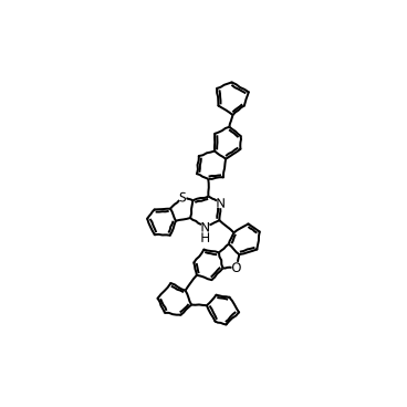 c1ccc(-c2ccc3cc(C4=C5Sc6ccccc6C5NC(c5cccc6oc7cc(-c8ccccc8-c8ccccc8)ccc7c56)=N4)ccc3c2)cc1